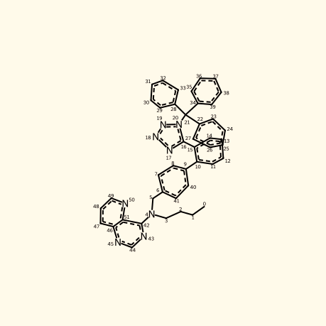 CCCCN(Cc1ccc(-c2ccccc2-c2nnnn2C(c2ccccc2)(c2ccccc2)c2ccccc2)cc1)c1ncnc2cccnc12